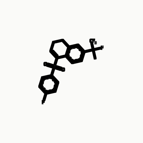 CC(F)(c1ccc2c(c1)CCC=C2S(=O)(=O)c1ccc(F)cc1)C(F)(F)F